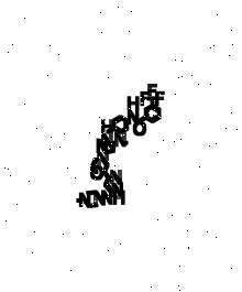 Cc1ccc(NC(=O)c2cccc(C(F)(F)F)c2)cc1N(C)c1cc(N2CCOC(c3cc(NN4CCN(C)CC4)ncn3)C2)n[nH]1